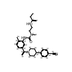 C=C(CC)NCCN(C)C(=O)Nc1cc(C(=C)N2CCC(c3ccc(C#N)cc3)CC2)ccc1C